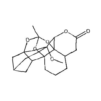 COC12CC3CC4C1(C3)OC1(C)OC43CCCC4CC(=O)OC2C43O1